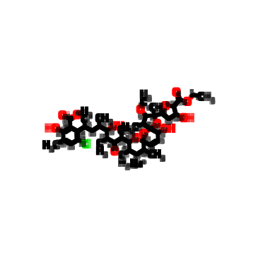 CCOC(=O)C1OC(C2(C)OC3(OC4(C=CC3O)OC(C(C)C(=O)C(C)C(O)C(C)CC(C)c3c(Cl)cc(C)c(O)c3C(=O)[O-])C(C)CC4C)C(C)C2OC)CC1O.[Na+]